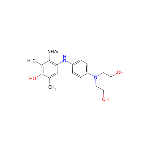 CC(=O)Nc1c(Nc2ccc(N(CCO)CCO)cc2)cc(C)c(O)c1C